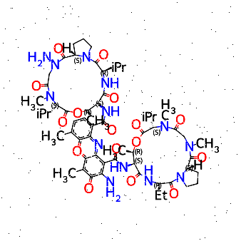 CC[C@H]1NC(=O)[C@@H](NC(=O)c2c3nc4c(C(=O)N[C@@H]5C(=O)N[C@H](C(C)C)C(=O)N6CCC[C@H]6C(=O)N(N)CC(=O)N(C)[C@@H](C(C)C)C(=O)O[C@@H]5C)ccc(C)c4oc-3c(C)c(=O)c2N)[C@@H](C)OC(=O)[C@H](C(C)C)N(C)C(=O)CN(C)C(=O)[C@@H]2CCCN2C1=O